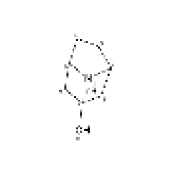 CCCCN1C2CCC1CC(O)C2